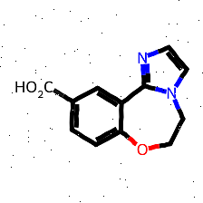 O=C(O)c1ccc2c(c1)-c1nccn1CCO2